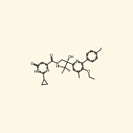 CCOc1c(C)cc([C@@](O)(CNC(=O)c2cc(=O)[nH]c(C3CC3)n2)C(F)(F)F)nc1-c1ccc(F)cc1